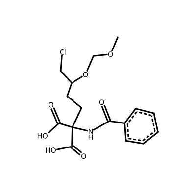 COCOC(CCl)CCC(NC(=O)c1ccccc1)(C(=O)O)C(=O)O